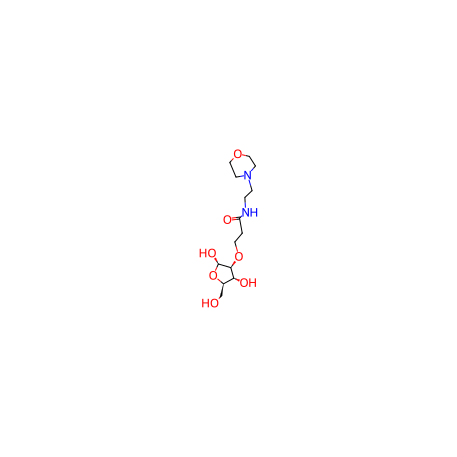 O=C(CCO[C@H]1[C@@H](O)[C@@H](CO)O[C@H]1O)NCCN1CCOCC1